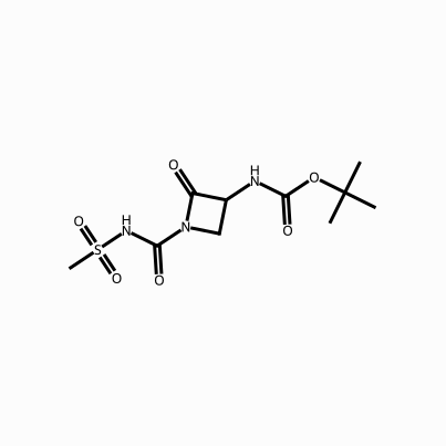 CC(C)(C)OC(=O)NC1CN(C(=O)NS(C)(=O)=O)C1=O